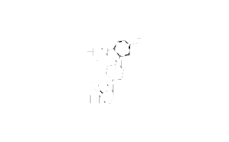 Nc1ccc(F)cc1N1CCC(N2CCNC2=O)CC1